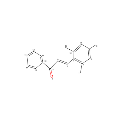 Cc1cc(C)c(/C=C/C(=O)c2ccccc2)c(C)c1